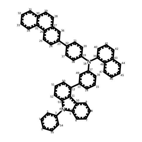 c1ccc(-n2c3ccccc3c3c(-c4cccc(N(c5ccc(-c6ccc7c(ccc8ccccc87)c6)cc5)c5cccc6ccccc56)c4)cccc32)cc1